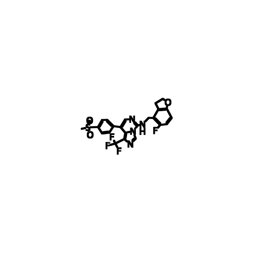 CS(=O)(=O)c1ccc(-c2cnc(NCc3c(F)ccc4c3CCO4)n3cnc(C(F)(F)F)c23)cc1